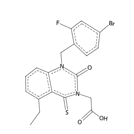 CCc1cccc2c1c(=S)n(CC(=O)O)c(=O)n2Cc1ccc(Br)cc1F